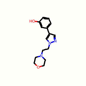 Oc1cccc(-c2cnn(CCN3CCOCC3)c2)c1